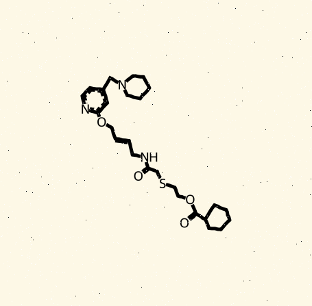 O=C(CSCCOC(=O)C1CCCCC1)NCC=CCOc1cc(CN2CCCCC2)ccn1